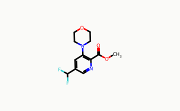 COC(=O)c1ncc(C(F)F)cc1N1CCOCC1